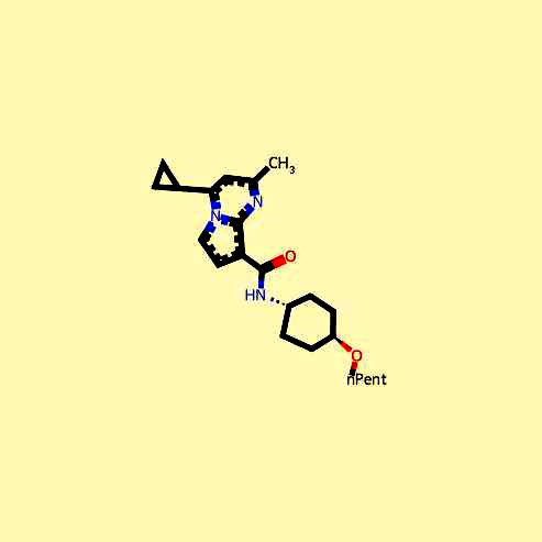 CCCCCO[C@H]1CC[C@H](NC(=O)c2ccn3c(C4CC4)cc(C)nc23)CC1